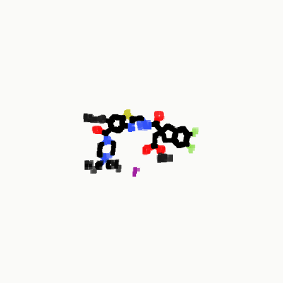 COc1cc2sc(CNC(=O)C3(CC(=O)OC(C)(C)C)Cc4cc(F)c(F)cc4C3)nc2cc1C(=O)N1CC[N+](C)(C)CC1.[I-]